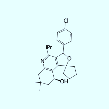 CC(C)c1nc2c(c3c1C(c1ccc(Cl)cc1)OC31CCCC1)[C@@H](O)CC(C)(C)C2